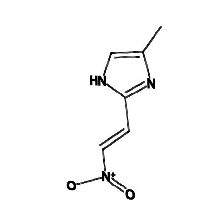 Cc1c[nH]c(C=C[N+](=O)[O-])n1